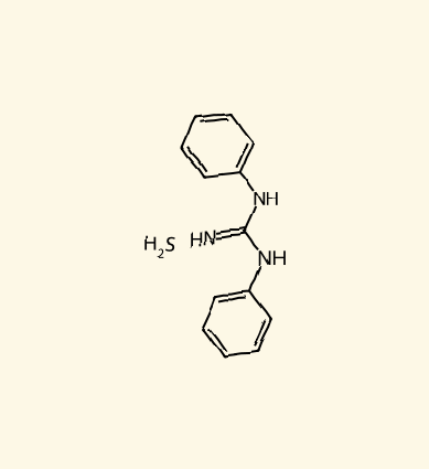 N=C(Nc1ccccc1)Nc1ccccc1.S